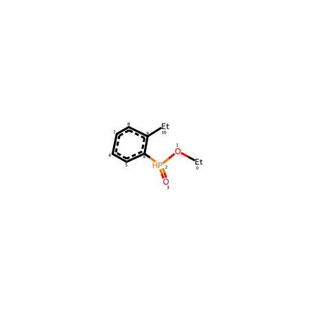 CCO[PH](=O)c1ccccc1CC